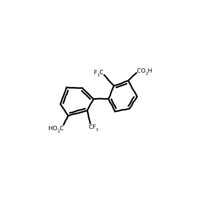 O=C(O)c1cccc(-c2cccc(C(=O)O)c2C(F)(F)F)c1C(F)(F)F